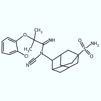 CC(C)(Oc1ccccc1Cl)C(=N)N(C#N)C1C2CC3CC1CC(S(N)(=O)=O)(C3)C2